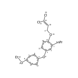 CCCc1cc(Oc2ccc(OCC)cc2)ccc1OCC=C(Cl)Cl